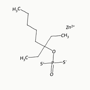 CCCCCC(CC)(CC)OP(=O)([S-])[S-].[Zn+2]